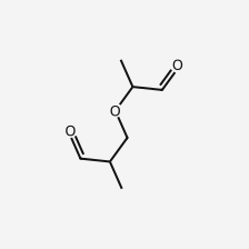 CC(C=O)COC(C)C=O